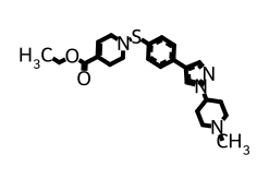 CCOC(=O)C1=CCN(Sc2ccc(-c3cnn(C4CCN(C)CC4)c3)cc2)CC1